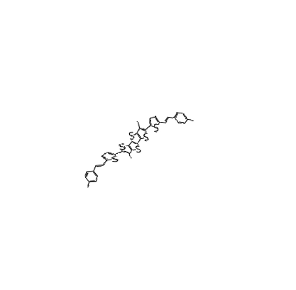 Cc1ccc(/C=C/c2ccc(-c3sc4c(sc5c6sc(-c7ccc(/C=C/c8ccc(C)cc8)s7)c(C)c6sc45)c3C)s2)cc1